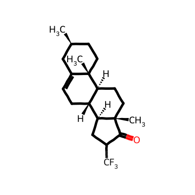 C[C@H]1CC[C@@]2(C)C(=CC[C@@H]3[C@@H]2CC[C@]2(C)C(=O)C(C(F)(F)F)C[C@@H]32)C1